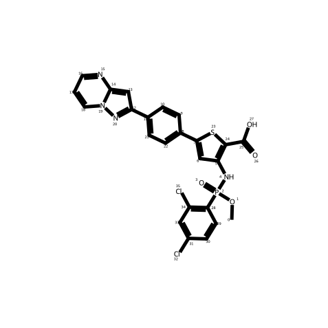 COP(=O)(Nc1cc(-c2ccc(-c3cc4ncccn4n3)cc2)sc1C(=O)O)c1ccc(Cl)cc1Cl